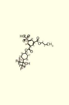 CCCOC(=O)c1cc(C(=O)OC2CCC(C(O)(C(F)(F)F)C(F)(F)F)CC2)cc(S(=O)(=O)O)c1